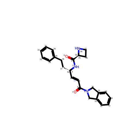 O=C(N[C@H](/C=C/C(=O)N1Cc2ccccc2C1)CCc1ccccc1)[C@@H]1CCN1